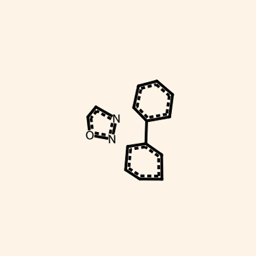 c1ccc(-c2ccccc2)cc1.c1conn1